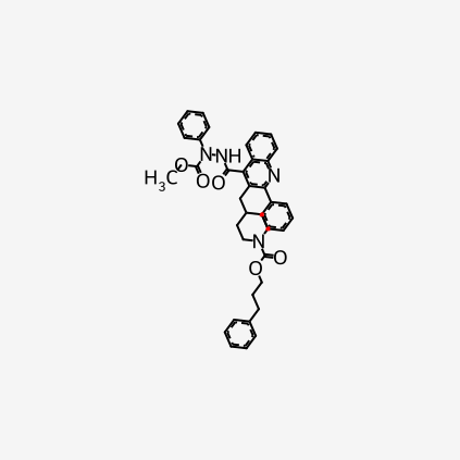 COC(=O)N(NC(=O)c1c(CC2CCN(C(=O)OCCCc3ccccc3)CC2)c(-c2ccccc2)nc2ccccc12)c1ccccc1